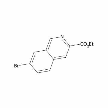 CCOC(=O)c1cc2ccc(Br)cc2cn1